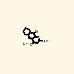 O=C([O-])c1cc(=O)c2cc3c(c(Br)c2o1)CCCC3.[Na+]